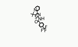 CC(C)(C)c1sc(NC(=O)c2ccc(C(F)(F)F)cc2)nc1-c1ccccn1